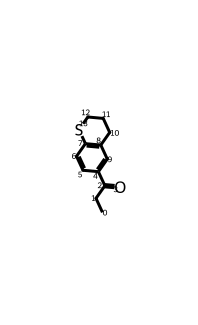 CCC(=O)c1ccc2c(c1)CCCS2